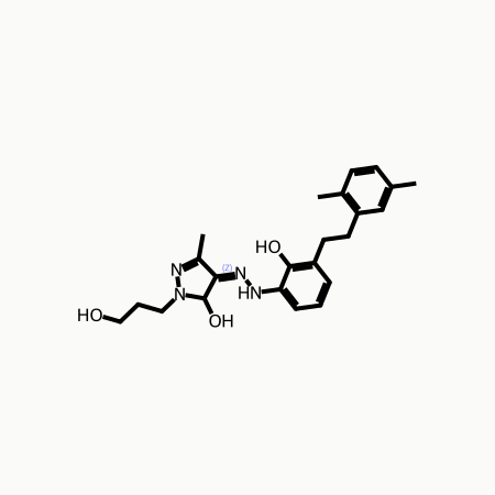 CC1=NN(CCCO)C(O)/C1=N\Nc1cccc(CCc2cc(C)ccc2C)c1O